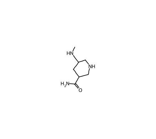 CNC1CNCC(C(N)=O)C1